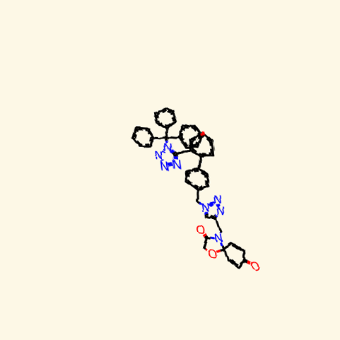 O=C1C=CC2(C=C1)OCC(=O)N2Cc1cn(Cc2ccc(-c3ccccc3-c3nnnn3C(c3ccccc3)(c3ccccc3)c3ccccc3)cc2)nn1